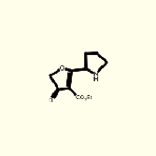 CCOC(=O)C1=C(C2CCCN2)OCC1=O